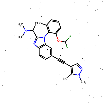 CCC(c1nc2ccc(C#Cc3cnn(C)c3C#N)cc2n1-c1c(C=O)cccc1OC(F)F)N(C)C